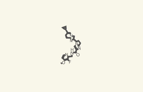 COc1ccnc(CNC(=O)c2cn3c(n2)CCC3c2cn3cc(C4CC4)ccc3n2)c1F